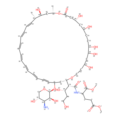 COC(=O)CCC(NC(=O)[C@@H]([C@@H]1CC(O[C@@H]2OC[C@@H](O)[C@H](N)[C@@H]2O)/C=C/C=C/C=C/C=C/C=C/C=C/C=C/[C@H](C)[C@@H](O)C[C@H](C)OC(=O)C[C@H](O)CC(O)CCC(O)C(O)CC(O)CCO1)[C@@H](O)CCO)C(=O)OC